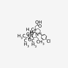 CCC(C(C)NS(=O)(=O)C(C)C)N1C(=O)[C@@](C)(CC(=O)O)CC[C@H]1c1ccc(Cl)cc1